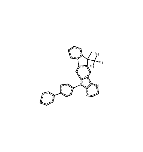 [2H]C([2H])([2H])C1(C)c2ccccc2-c2cc3c(cc21)c1ncccc1n3-c1ccc(-c2ccccc2)cc1